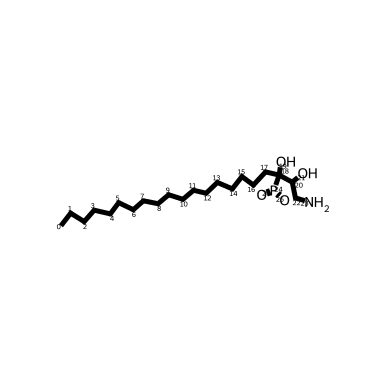 CCCCCCCCCCCCCCCCCCC(O)(C(O)CN)P(=O)=O